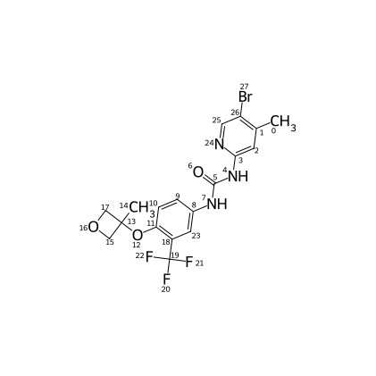 Cc1cc(NC(=O)Nc2ccc(OC3(C)COC3)c(C(F)(F)F)c2)ncc1Br